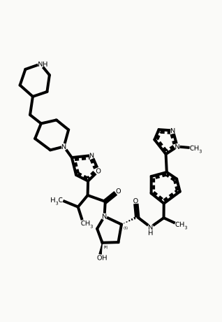 CC(NC(=O)[C@@H]1C[C@@H](O)CN1C(=O)C(c1cc(N2CCC(CC3CCNCC3)CC2)no1)C(C)C)c1ccc(-c2ccnn2C)cc1